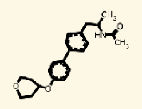 CC(=O)NC(C)Cc1ccc(-c2ccc(OC3CCOCC3)cc2)cc1